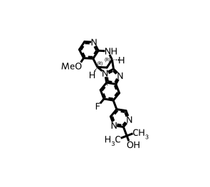 COc1ccnc2c1[C@H]1C[C@@H](N2)c2nc3cc(-c4cnc(C(C)(C)O)nc4)c(F)cc3n21